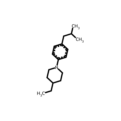 CCC1CCN(c2ccc(CC(C)C)cc2)CC1